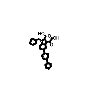 O=C(O)C(=O)c1c(CO)n(Cc2ccccc2)c2ccc(-c3ccc(-c4ccccc4)cc3)cc12